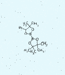 CC(C)C1OB(B2OC(C)(C)C(C)(C)O2)OC1(C)C